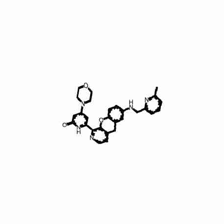 Cc1cccc(CNc2ccc3c(c2)Cc2ccnc(-c4cc(N5CCOCC5)cc(=O)[nH]4)c2O3)n1